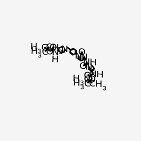 CC(C)(C)OC(=O)NC1CCN(Cc2ccc(-n3ccc(NC(=O)N4CC[C@@H](NC(=O)OC(C)(C)C)C4)nc3=O)cc2)CC1